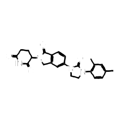 Cc1ccc(N2CCN(c3ccc4c(c3)CN(C3CCC(=O)NC3=O)C4=O)C2=O)c(C)c1